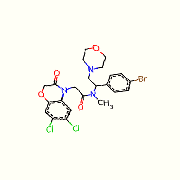 CN(C(=O)CN1C(=O)COc2cc(Cl)c(Cl)cc21)C(CN1CCOCC1)c1ccc(Br)cc1